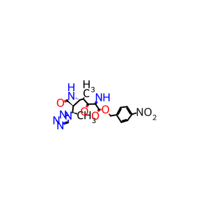 C[C@H]([C@H]1C(=O)N[C@@H]1[C@@H](C)C(=O)C(=N)C(=O)OCc1ccc([N+](=O)[O-])cc1)n1cnnn1